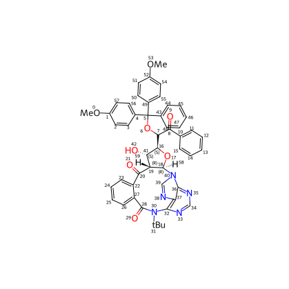 COc1ccc(C(OC(C(=O)c2ccccc2)[C@H]2O[C@@H]3[C@H](C(=O)c4ccccc4C(=O)N(C(C)(C)C)c4ncnc5c4ncn53)[C@@H]2O)(c2ccccc2)c2ccc(OC)cc2)cc1